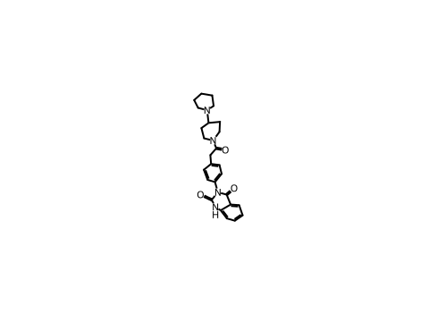 O=C(Cc1ccc(-n2c(=O)[nH]c3ccccc3c2=O)cc1)N1CCC(N2CCCCC2)CC1